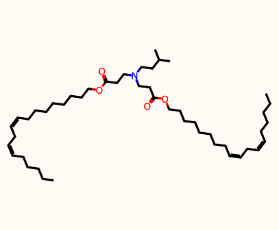 CCCCC/C=C\C/C=C\CCCCCCCCOC(=O)CCN(CCC(=O)OCCCCCCCC/C=C\C/C=C\CCCCC)CCC(C)C